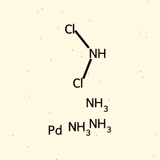 ClNCl.N.N.N.[Pd]